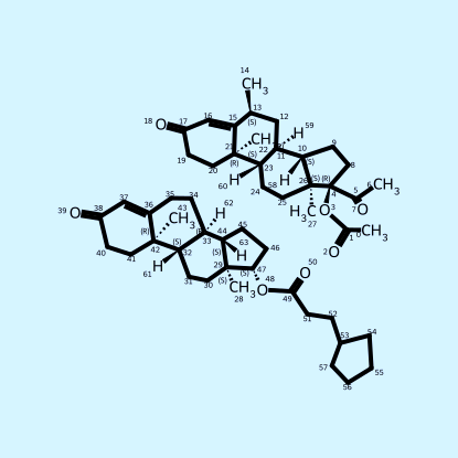 CC(=O)O[C@]1(C(C)=O)CC[C@H]2[C@@H]3C[C@H](C)C4=CC(=O)CC[C@]4(C)[C@H]3CC[C@@]21C.C[C@]12CC[C@H]3[C@@H](CCC4=CC(=O)CC[C@@]43C)[C@@H]1CC[C@@H]2OC(=O)CCC1CCCC1